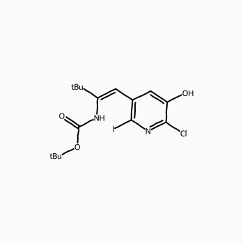 CC(C)(C)OC(=O)N/C(=C\c1cc(O)c(Cl)nc1I)C(C)(C)C